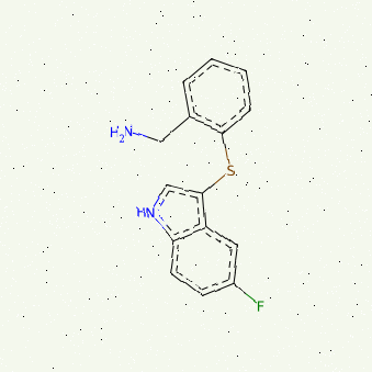 NCc1ccccc1Sc1c[nH]c2ccc(F)cc12